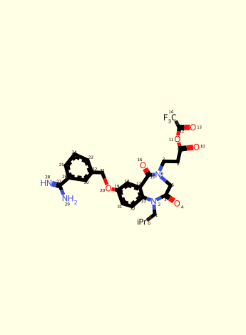 CC(C)CN1C(=O)CN(CCC(=O)OC(=O)C(F)(F)F)C(=O)c2cc(OCc3cccc(C(=N)N)c3)ccc21